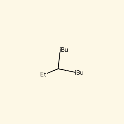 [CH2]CC(C(C)CC)C(C)CC